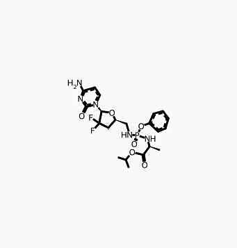 CC(C)OC(=O)[C@H](C)NP(=O)(NC[C@H]1[CH]C(F)(F)[C@@H](n2ccc(N)nc2=O)O1)Oc1ccccc1